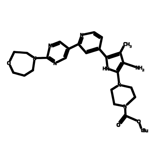 Cc1c(-c2ccnc(-c3cnc(N4CCCOCC4)nc3)c2)[nH]c(N2CCN(C(=O)OC(C)(C)C)CC2)c1N